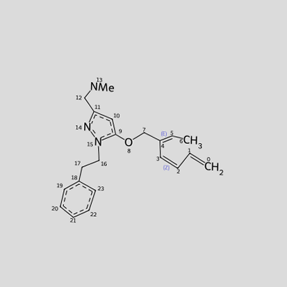 C=C/C=C\C(=C/C)COc1cc(CNC)nn1CCc1ccccc1